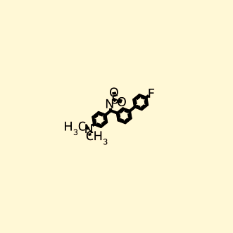 CN(C)c1ccc(C(N=S(=O)=O)c2cccc(-c3ccc(F)cc3)c2)cc1